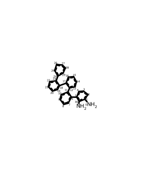 Nc1cccc(-c2ccccc2-c2ccccc2-c2ccccc2-c2ccccc2)c1N